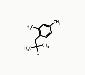 Cc1ccc(CC(C)(C)[O])c(C)c1